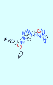 CCc1c(NC[C@H](NC(=O)OCc2ccccc2)C(=O)O)ncnc1N1CCC(C(=O)NC2NCCCN2)CC1